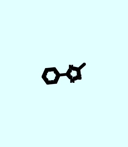 Cc1nc(-c2ccccc2)ns1